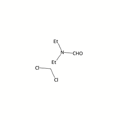 CCN(C=O)CC.ClCCl